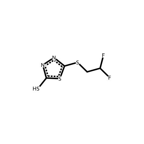 FC(F)CSc1nnc(S)s1